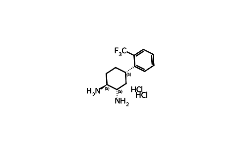 Cl.Cl.N[C@H]1CC[C@H](c2ccccc2C(F)(F)F)C[C@@H]1N